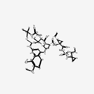 C=C[C@@H]1C[C@]1(NC(=O)[C@@H]1C[C@@H](Oc2cc(OCC)nc3c(Cl)c(OC)ccc23)CN1C(=O)[C@@H](NC(=O)OC(C)(C)C)C(C)(C)C)C(=O)NS(=O)(=O)OC1(CCC)CC1